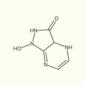 O=C1NN(O)C2=NC=CNC12